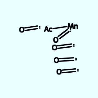 C[C](=O)[Mn].[C]=O.[C]=O.[C]=O.[C]=O.[C]=O